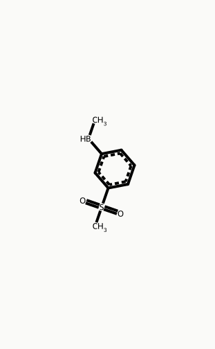 CBc1cccc(S(C)(=O)=O)c1